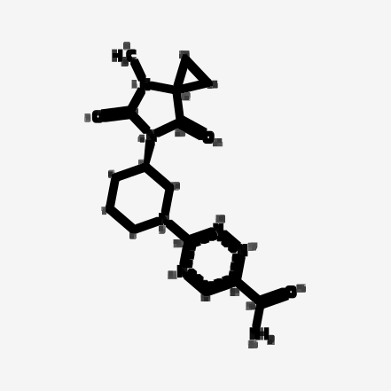 CN1C(=O)N([C@@H]2CCCN(c3ncc(C(N)=O)nn3)C2)C(=O)C12CC2